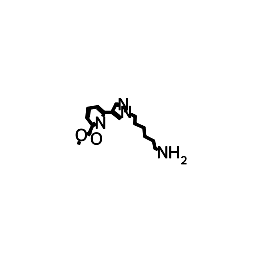 COC(=O)c1cccc(-c2cnn(CCCCCCN)c2)n1